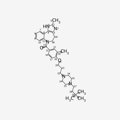 Cc1nc2c([nH]1)-c1ccccc1N(C(=O)c1ccc(OCCCN3CCN(CCC(C)(C)C)CC3)c(C)c1)CC2